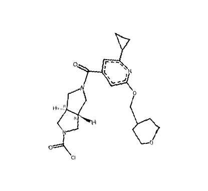 O=C(Cl)N1C[C@H]2CN(C(=O)c3cc(OCC4CCOCC4)nc(C4CC4)c3)C[C@@H]2C1